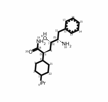 CC(C)C1CCC([C@H](C[C@H](O)[C@@H](N)Cc2ccccc2)C(N)=O)CC1